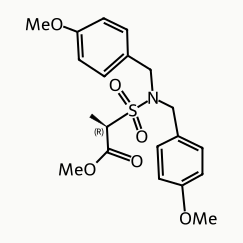 COC(=O)[C@@H](C)S(=O)(=O)N(Cc1ccc(OC)cc1)Cc1ccc(OC)cc1